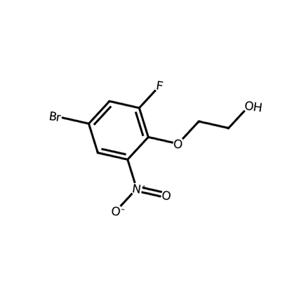 O=[N+]([O-])c1cc(Br)cc(F)c1OCCO